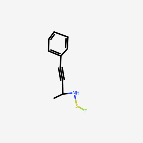 CC(C#Cc1ccccc1)NSF